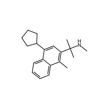 CNC(C)(C)c1cc(C2CCCC2)c2ccccc2c1C